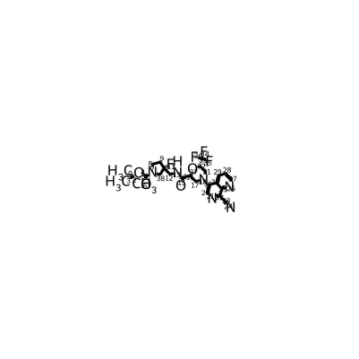 CC(C)(C)OC(=O)N1CC[C@@](F)(CNC(=O)C2CN(c3cnc(C#N)c4ncccc34)C[C@@H](C(F)(F)F)O2)C1